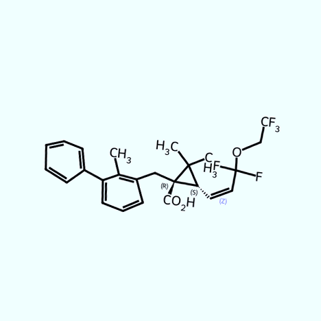 Cc1c(C[C@@]2(C(=O)O)[C@@H](/C=C\C(F)(F)OCC(F)(F)F)C2(C)C)cccc1-c1ccccc1